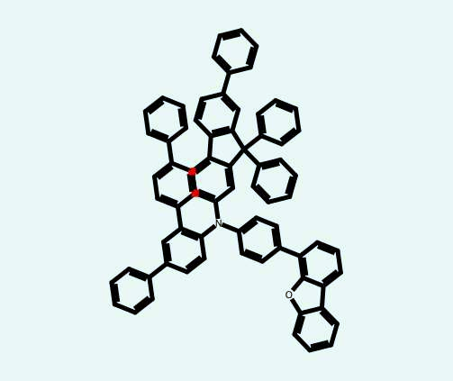 c1ccc(-c2ccc(-c3cc(-c4ccccc4)ccc3N(c3ccc(-c4cccc5c4oc4ccccc45)cc3)c3ccc4c(c3)C(c3ccccc3)(c3ccccc3)c3cc(-c5ccccc5)ccc3-4)cc2)cc1